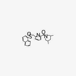 C=S(=O)(Cc1cccc(C(=O)N2CC(C)CC(C)C2)n1)c1cccc2ccccc12